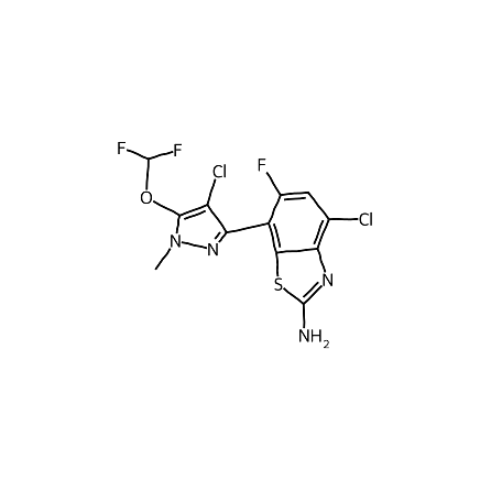 Cn1nc(-c2c(F)cc(Cl)c3nc(N)sc23)c(Cl)c1OC(F)F